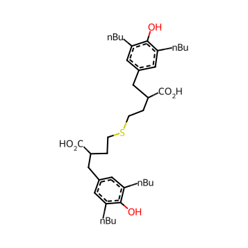 CCCCc1cc(CC(CCSCCC(Cc2cc(CCCC)c(O)c(CCCC)c2)C(=O)O)C(=O)O)cc(CCCC)c1O